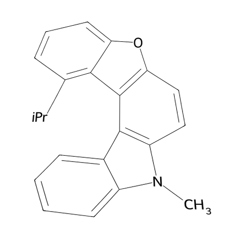 CC(C)c1cccc2oc3ccc4c(c5ccccc5n4C)c3c12